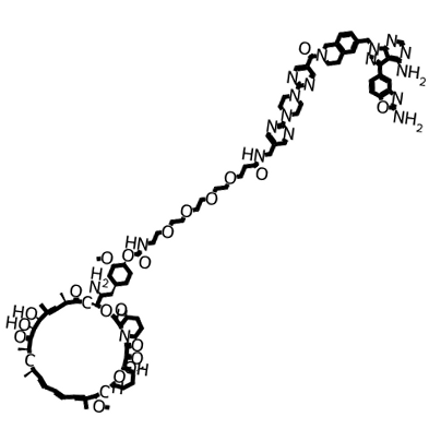 CO[C@H]1C[C@@H]2CC[C@@H](C)[C@@](O)(O2)C(=O)C(=O)N2CCCC[C@H]2C(=O)O[C@H]([C@H](N)C[C@@H]2CC[C@@H](OC(=O)NCCOCCOCCOCCOCCC(=O)NCc3cnc(N4CCN(c5ncc(C(=O)N6CCc7cc(Cn8nc(-c9ccc%10oc(N)nc%10c9)c9c(N)ncnc98)ccc7C6)cn5)CC4)nc3)[C@H](OC)C2)CC(=O)[C@H](C)/C=C(\C)[C@@H](O)[C@@H](O)C(=O)[C@H](C)C[C@H](C)/C=C/C=C/C=C/1C